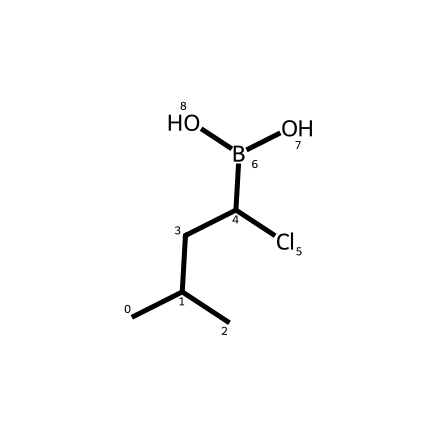 CC(C)CC(Cl)B(O)O